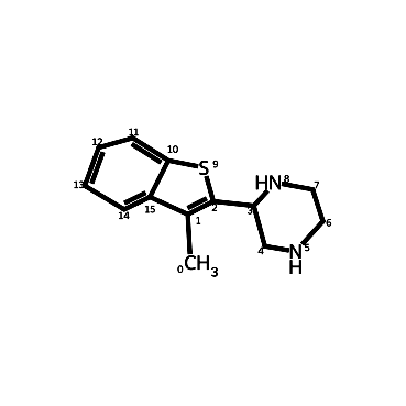 Cc1c(C2CNCCN2)sc2ccccc12